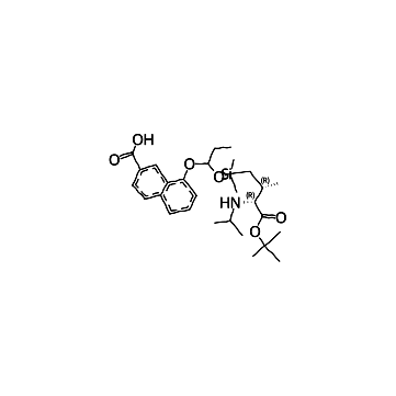 CCC(Oc1cccc2ccc(C(=O)O)cc12)O[Si](C)(C)C[C@H](C)[C@@H](NC(C)C)C(=O)OC(C)(C)C